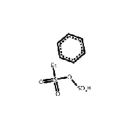 CCS(=O)(=O)OS(=O)(=O)O.c1ccccc1